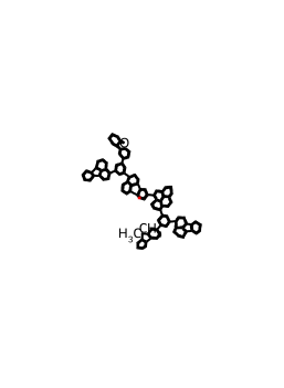 CC1(C)c2ccccc2-c2ccc(-c3cc(-c4ccc5c6c(cccc46)-c4ccccc4-5)cc(-c4ccc5c(-c6ccc7c(c6)-c6ccc(-c8cc(-c9ccc%10oc%11ccccc%11c%10c9)cc(-c9ccc%10c%11c(cccc9%11)-c9ccccc9-%10)c8)c8cccc-7c68)cc6cccc7ccc4c5c76)c3)cc21